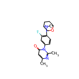 Cc1cc(=O)n(-c2ccc(N3CC4CCC3CO4)c(F)c2)c(C)n1